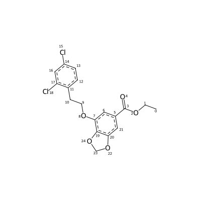 CCOC(=O)c1cc(OCCc2ccc(Cl)cc2Cl)c2c(c1)OCO2